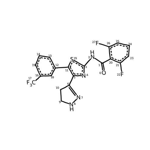 O=C(Nc1nc(C2=NNCC2)c(-c2cccc(C(F)(F)F)c2)s1)c1c(F)cccc1F